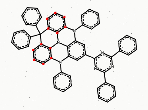 c1ccc(-c2nc(-c3ccccc3)nc(-c3cc(N(c4ccccc4)c4ccccc4)c(N4c5ccccc5C(c5ccccc5)(c5ccccc5)c5ccccc54)c(N(c4ccccc4)c4ccccc4)c3)n2)cc1